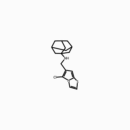 Clc1c(CNC23CC4CC(CC(C4)C2)C3)cc2sccn12